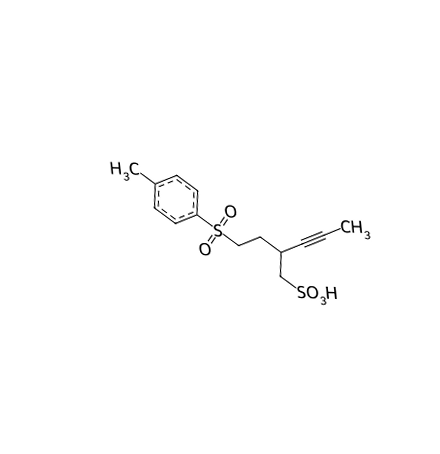 CC#CC(CCS(=O)(=O)c1ccc(C)cc1)CS(=O)(=O)O